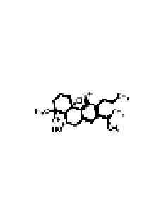 CCCc1c(C(C)C)cc2c(c1O)[C@@]1(C)CCCC(C)(C)C1[C@@H](O)C2